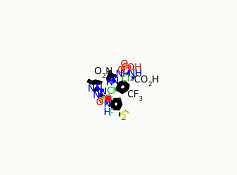 C[S+](C)C.Cc1ccn2nc(S(=O)(=O)Nc3c(F)cccc3F)nc2n1.Nc1c([N+](=O)[O-])cnn1-c1c(Cl)cc(C(F)(F)F)cc1Cl.O=C(O)CNCP(=O)([O-])O